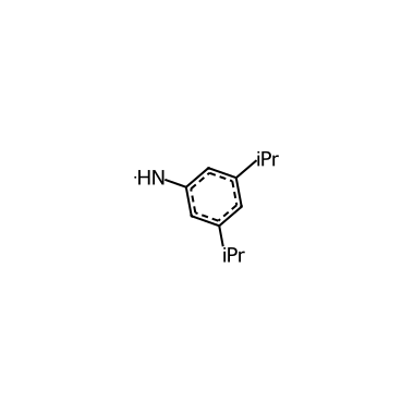 CC(C)c1cc([NH])cc(C(C)C)c1